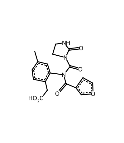 Cc1ccc(CC(=O)O)c(N(C(=O)c2ccoc2)C(=O)N2CCNC2=O)c1